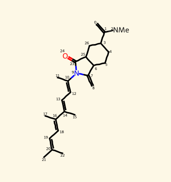 C=C(NC)C1CCC2C(=C)N(/C(C)=C/C=C(C)/C(C)=C/C=C(C)C)C(=O)C2C1